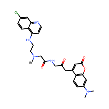 CCN(CCNc1ccnc2cc(Cl)ccc12)CC(=O)NCC(=O)Cc1cc(=O)oc2cc(N(C)C)ccc12